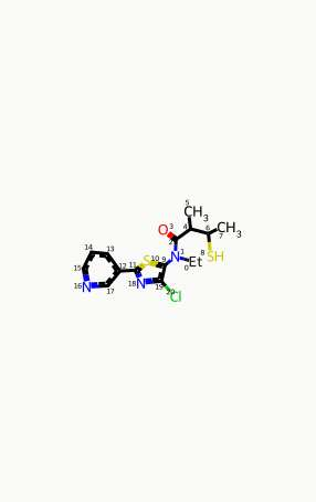 CCN(C(=O)C(C)C(C)S)c1sc(-c2cccnc2)nc1Cl